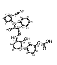 N#Cc1sccc1N1C(=O)C(=NNc2cccc(-c3cccc(OC(=O)O)c3)c2O)c2ccccc21